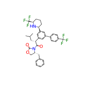 CC(C)C[C@@H](C(=O)N1C(=O)OC[C@H]1Cc1ccccc1)c1cc(-c2ccc(C(F)(F)F)cc2)cc([C@@H]2CCC[C@H](C(F)(F)F)N2)c1